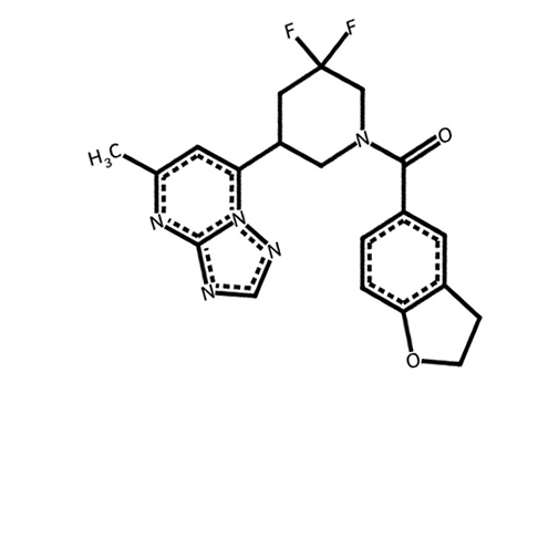 Cc1cc(C2CN(C(=O)c3ccc4c(c3)CCO4)CC(F)(F)C2)n2ncnc2n1